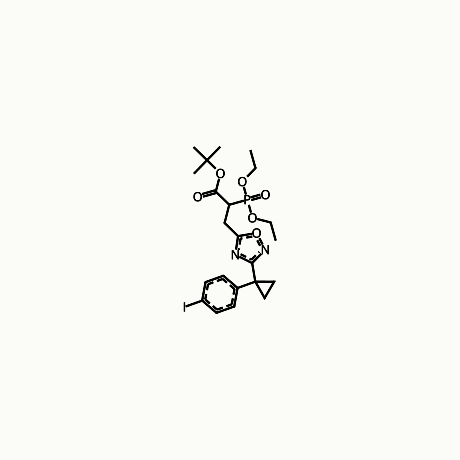 CCOP(=O)(OCC)C(Cc1nc(C2(c3ccc(I)cc3)CC2)no1)C(=O)OC(C)(C)C